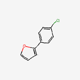 Clc1ccc(-c2[c]cco2)cc1